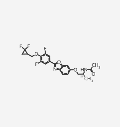 CC(=O)N[C@@H](C)COc1ccc2nc(-c3cc(F)c(OCC4CC4(F)F)c(F)c3)oc2c1